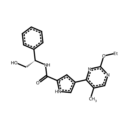 CCOc1ncc(C)c(-c2c[nH]c(C(=O)N[C@H](CO)c3ccccc3)c2)n1